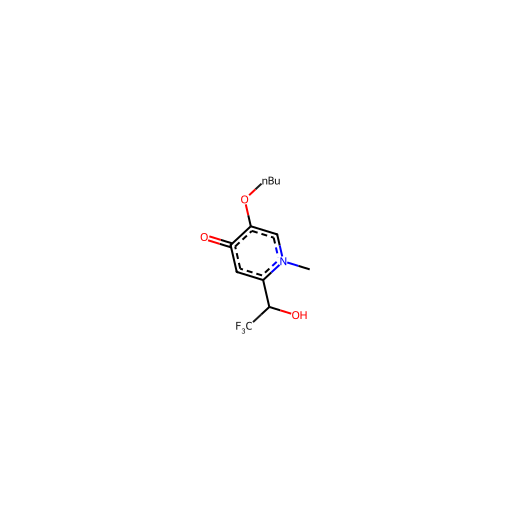 CCCCOc1cn(C)c(C(O)C(F)(F)F)cc1=O